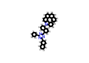 c1ccc(-c2nc(-c3ccc4ccccc4c3)nc(-c3cccc4c(-n5c6ccccc6c6c7c(ccc8ccc9ccccc9c87)ccc65)cccc34)n2)cc1